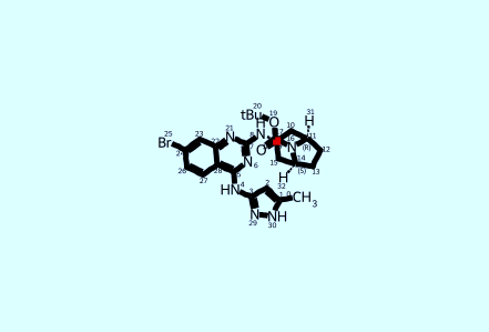 Cc1cc(Nc2nc(N[C@@H]3C[C@H]4CC[C@@H](C3)N4C(=O)OC(C)(C)C)nc3cc(Br)ccc23)n[nH]1